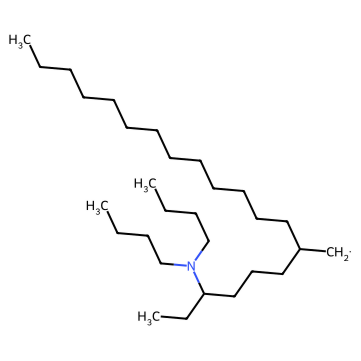 [CH2]C(CCCCCCCCCCCCC)CCCC(CC)N(CCCC)CCCC